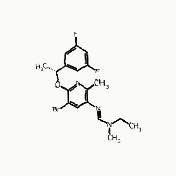 CCN(C)/C=N/c1cc(Br)c(O[C@H](C)c2cc(F)cc(F)c2)nc1C